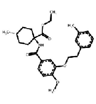 CCOC(=O)[C@]1(NC(=O)c2ccc(OC)c(OCCc3cccc(C)c3)c2)CC[C@H](C)CC1